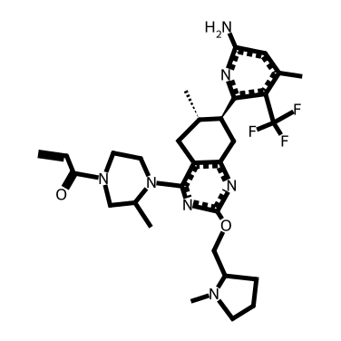 C=CC(=O)N1CCN(c2nc(OCC3CCCN3C)nc3c2C[C@H](C)[C@@H](c2nc(N)cc(C)c2C(F)(F)F)C3)C(C)C1